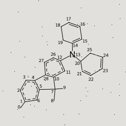 Cc1ccc2c(c1)C(C)(C)c1cc(N(C3=CC=CCC3)C3C=CC=CC3)ccc1-2